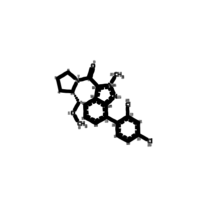 COC[C@@H]1CCCN1C(=O)c1c2cccc(-c3ccc(Cl)cc3Cl)c2nn1C